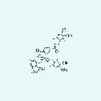 Cc1cc(C(C)(C)C)c(O)c(C)c1COC(=O)c1ccc(C(=O)OCc2c(C)cc(C(C)(C)C)c(O)c2C)c(C(=O)OCc2c(C)cc(C(C)(C)C)c(O)c2C)c1